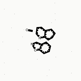 C=O.c1ccc2ncccc2c1.c1ccc2oncc2c1